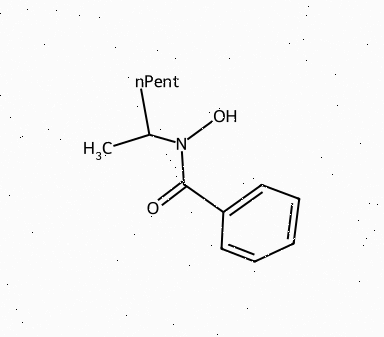 CCCCCC(C)N(O)C(=O)c1ccccc1